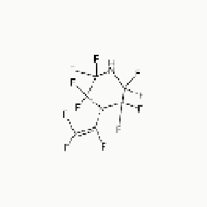 FC(F)=C(F)N1C(F)(F)C(F)(F)NC(F)(F)C1(F)F